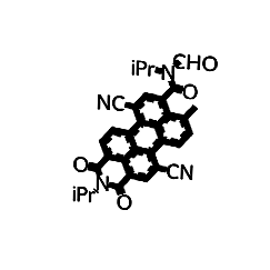 Cc1ccc2c3c(C#N)cc4c5c(ccc(c6c(C#N)cc(C(=O)N(C=O)C(C)C)c1c26)c53)C(=O)N(C(C)C)C4=O